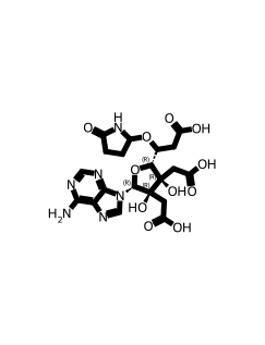 Nc1ncnc2c1ncn2[C@@H]1O[C@H](C(CC(=O)O)OC2CCC(=O)N2)[C@](O)(CC(=O)O)[C@]1(O)CC(=O)O